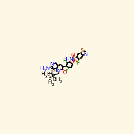 BC1(B)C(Cn2c(=O)c(-c3c(F)ccc(NS(=O)(=O)c4cc5scnc5cc4F)c3F)cc3cnc(N)cc32)C1(B)B